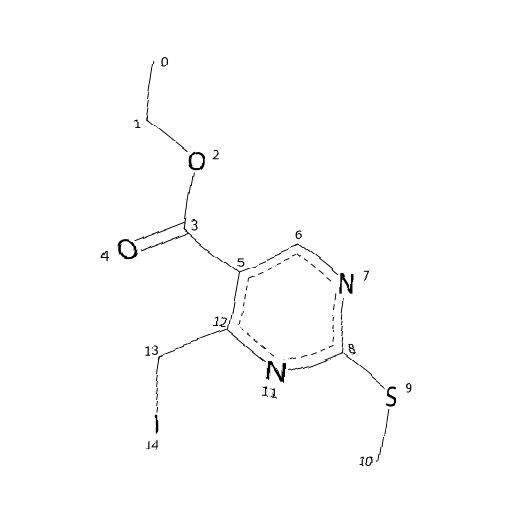 CCOC(=O)c1cnc(SC)nc1CI